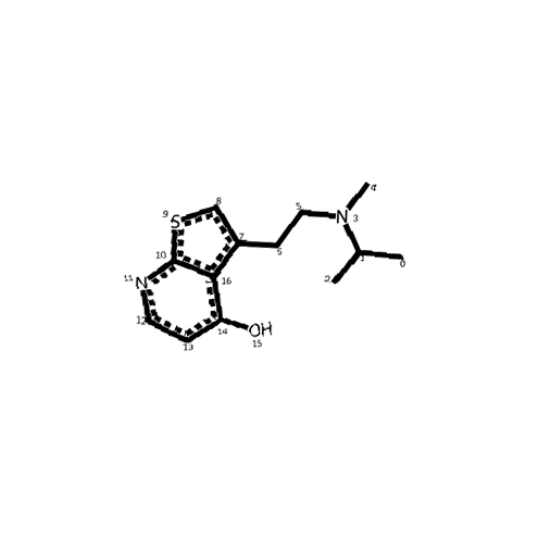 CC(C)N(C)CCc1csc2nccc(O)c12